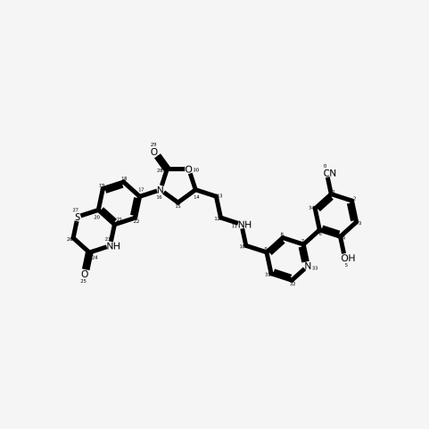 N#Cc1ccc(O)c(-c2cc(CNCCC3CN(c4ccc5c(c4)NC(=O)CS5)C(=O)O3)ccn2)c1